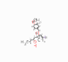 CCCC(O)CC(C)C(C=CI)OCc1ccc(OC)cc1